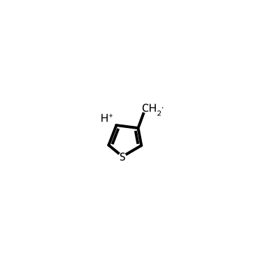 [CH2]c1ccsc1.[H+]